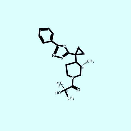 C[C@@H]1CN(C(=O)[C@@](C)(O)C(F)(F)F)CCC1C1(c2nnc(-c3ccccc3)o2)CC1